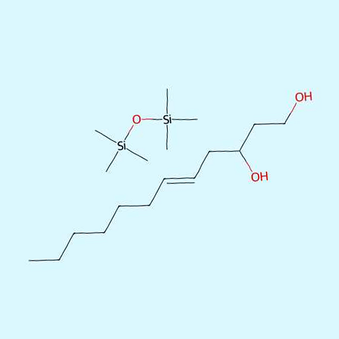 CCCCCC/C=C/CC(O)CCO.C[Si](C)(C)O[Si](C)(C)C